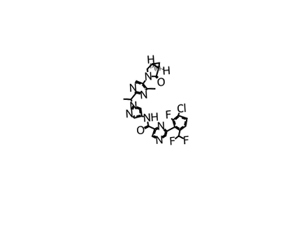 Cc1nc(C(C)n2cc(NC(=O)c3cncc(-c4c(C(F)F)ccc(Cl)c4F)n3)cn2)ncc1N1C[C@H]2C[C@H]2C1=O